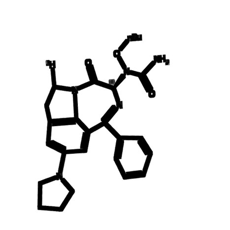 [3H]C1Cc2cc(N3CCCC3)cc3c2N1C(=O)[C@@H](N(OCCCC)C(N)=O)N=C3c1ccccc1